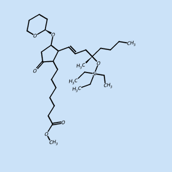 CCCC[C@@](C)(CC=CC1C(O[C@@H]2CCCCO2)CC(=O)C1CCCCCCC(=O)OC)O[Si](CC)(CC)CC